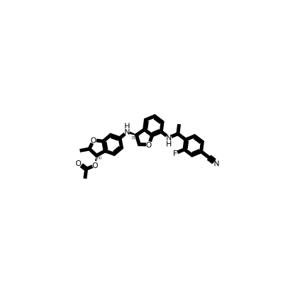 CC(=O)O[C@H]1c2ccc(N[C@@H]3COc4c(NC(C)c5ccc(C#N)cc5F)cccc43)cc2OC1C